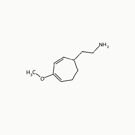 COC1=CCCC(CCN)C=C1